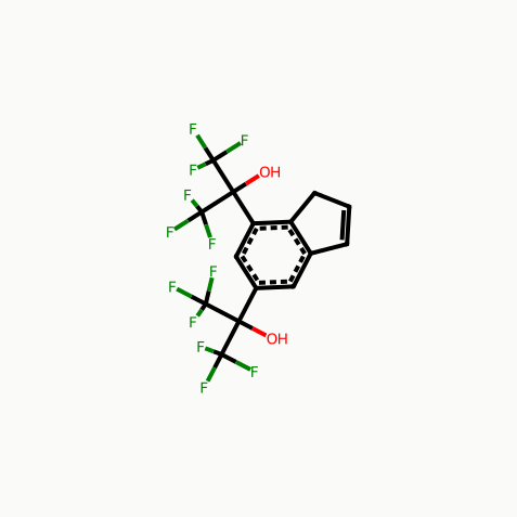 OC(c1cc2c(c(C(O)(C(F)(F)F)C(F)(F)F)c1)CC=C2)(C(F)(F)F)C(F)(F)F